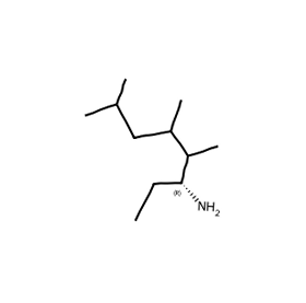 CC[C@@H](N)C(C)C(C)CC(C)C